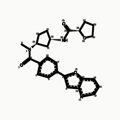 CN(C(=O)c1ccc(-c2cc3ncccc3o2)cc1)[C@@H]1CC[C@H](NC(=O)[C@@H]2CCCO2)C1